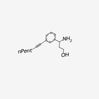 CCCCCC#Cc1cccc(C(N)CCO)c1